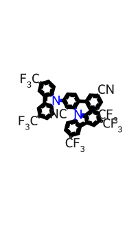 N#Cc1cc(-c2ccc(-n3c4ccc(C(F)(F)F)cc4c4cc(C(F)(F)F)ccc43)c(C#N)c2-n2c3ccc(C(F)(F)F)cc3c3cc(C(F)(F)F)ccc32)cc(C(F)(F)F)c1